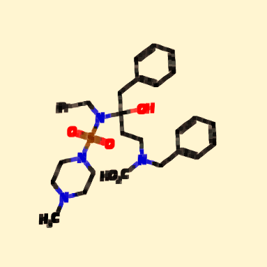 CC(C)CN(C(O)(CCN(Cc1ccccc1)C(=O)O)Cc1ccccc1)S(=O)(=O)N1CCN(C)CC1